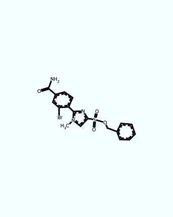 Cn1cc(S(=O)(=O)OCc2ccccc2)nc1-c1ccc(C(N)=O)cc1Br